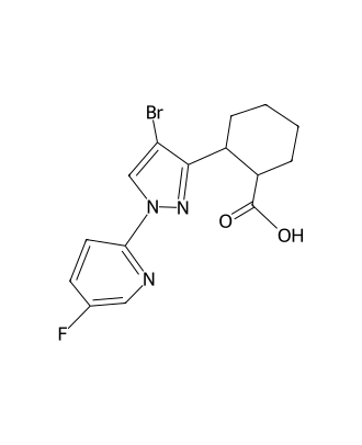 O=C(O)C1CCCCC1c1nn(-c2ccc(F)cn2)cc1Br